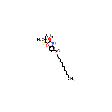 CCCCCCCCCCCCOC(=O)c1ccc2c(c1)NC(=O)C(C(=S)C(C)(C)CC)O2